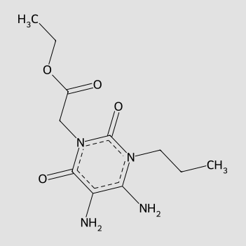 CCCn1c(N)c(N)c(=O)n(CC(=O)OCC)c1=O